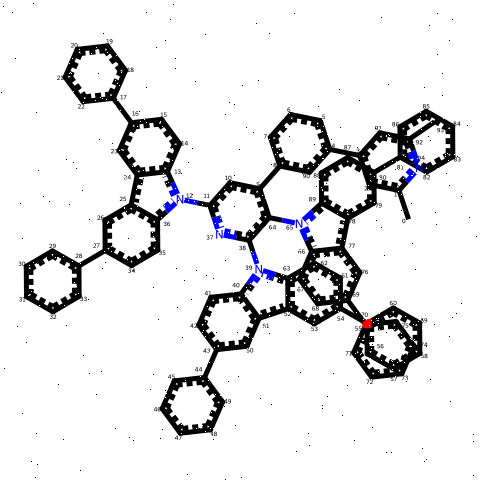 Cc1cc(-c2cccc(-c3cc(-n4c5ccc(-c6ccccc6)cc5c5cc(-c6ccccc6)ccc54)nc(-n4c5ccc(-c6ccccc6)cc5c5cc(-c6ccccc6)ccc54)c3-n3c4ccc(-c5ccccc5)cc4c4cc(-c5ccccc5)ccc43)c2)cc(C)n1